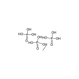 CC.O=P(O)(O)O.O=P(O)(O)O.O=P(O)(O)O